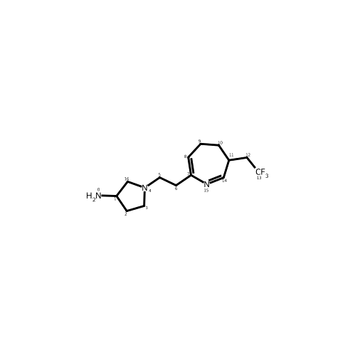 NC1CCN(CCC2=CCCC(CC(F)(F)F)C=N2)C1